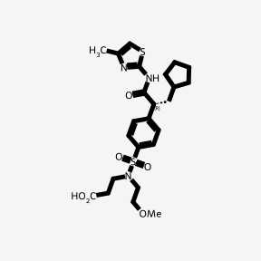 COCCN(CCC(=O)O)S(=O)(=O)c1ccc([C@@H](CC2CCCC2)C(=O)Nc2nc(C)cs2)cc1